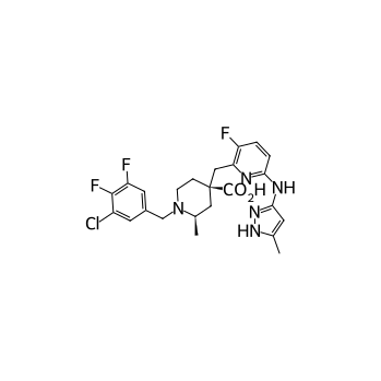 Cc1cc(Nc2ccc(F)c(C[C@@]3(C(=O)O)CCN(Cc4cc(F)c(F)c(Cl)c4)[C@H](C)C3)n2)n[nH]1